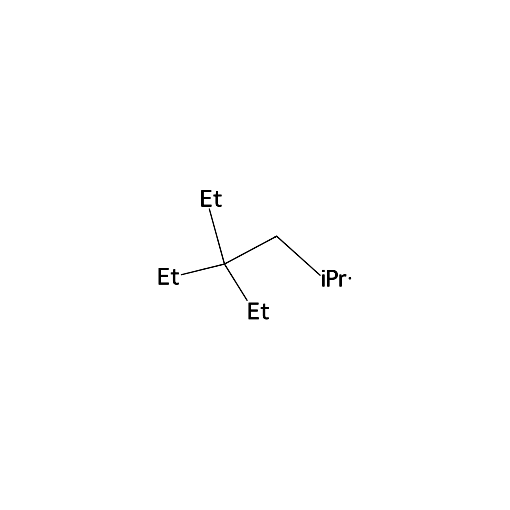 CCC(CC)(CC)C[C](C)C